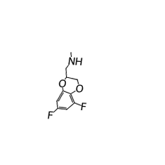 CNCC1COc2c(F)cc(F)cc2O1